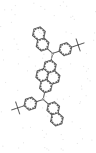 CC(C)(C)c1ccc(N(c2ccc3ccccc3c2)c2cc3ccc4cc(N(c5ccc(C(C)(C)C)cc5)c5ccc6ccccc6c5)cc5ccc(c2)c3c45)cc1